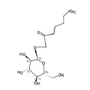 CCCCCCCCCCCCCCC(=O)CO[C@H]1O[C@H](CO)[C@@H](O)[C@H](O)[C@H]1O